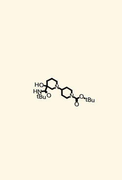 CC(C)(C)NC(=O)C1(O)CCCN(C2CCN(C(=O)OC(C)(C)C)CC2)C1